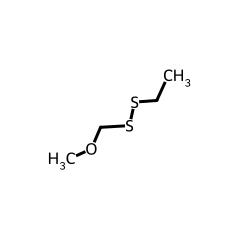 CCSSCOC